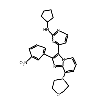 O=[N+]([O-])c1cccc(-c2nc3c(N4CCOCC4)cccn3c2-c2ccnc(NC3CCCC3)n2)c1